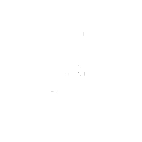 O=C(Cc1c[nH]c2ccccc12)N/N=C/c1ccc(F)cc1